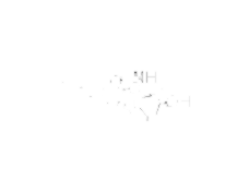 CCCCCCC(Sc1ccc(O)cc1)C(=O)ON